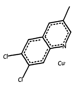 Cc1cnc2cc(Cl)c(Cl)cc2c1.[Cu]